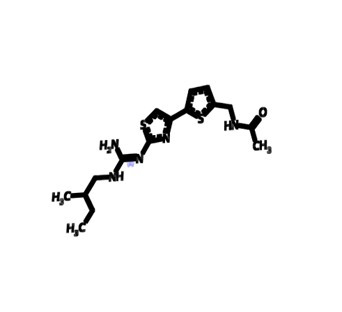 CCC(C)CN/C(N)=N/c1nc(-c2ccc(CNC(C)=O)s2)cs1